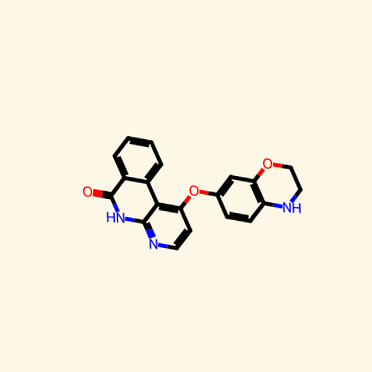 O=c1[nH]c2nccc(Oc3ccc4c(c3)OCCN4)c2c2ccccc12